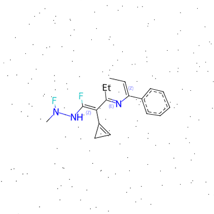 C\C=C(/N=C(CC)/C(C1=CC1)=C(\F)NN(C)F)c1ccccc1